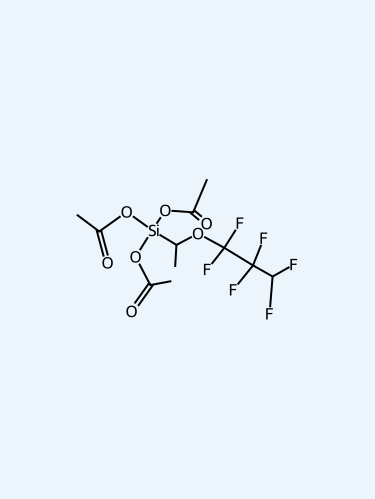 CC(=O)O[Si](OC(C)=O)(OC(C)=O)C(C)OC(F)(F)C(F)(F)C(F)F